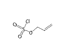 C=CCOS(=O)(=O)Cl